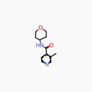 Cc1cnccc1C(=O)NC1CCOCC1